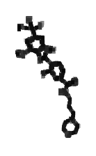 O=C(NCCCN1CCOCC1)c1ccc(-c2nc3c(Cl)cc(C(F)(F)F)cc3[nH]2)c(F)c1